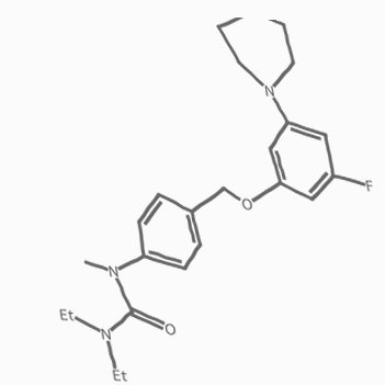 CCN(CC)C(=O)N(C)c1ccc(COc2cc(F)cc(N3CCSCC3)c2)cc1